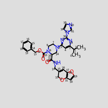 CC(C)c1cc(N2CCN(C(=O)OCc3ccccc3)C(C(=O)NCC3=Cc4occc4OC3)C2)nc(-n2ccnc2)n1